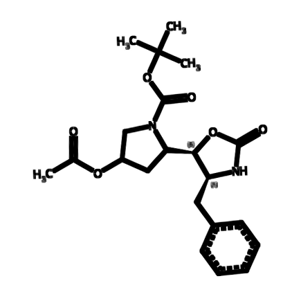 CC(=O)OC1CC([C@H]2OC(=O)N[C@H]2Cc2ccccc2)N(C(=O)OC(C)(C)C)C1